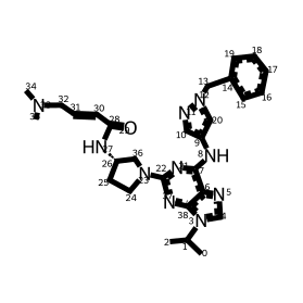 CC(C)n1cnc2c(Nc3cnn(Cc4ccccc4)c3)nc(N3CC[C@H](NC(=O)/C=C/CN(C)C)C3)nc21